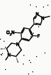 C[C@@H]1CN(c2cc(F)c(-c3cnn(C)c3)cc2[N+](=O)[O-])C[C@H](C)N1C